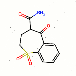 NC(=O)C1CCS(=O)(=O)c2ccccc2C1=O